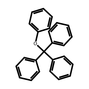 c1ccc(OC(c2ccccc2)(c2ccccc2)c2ccccc2)cc1